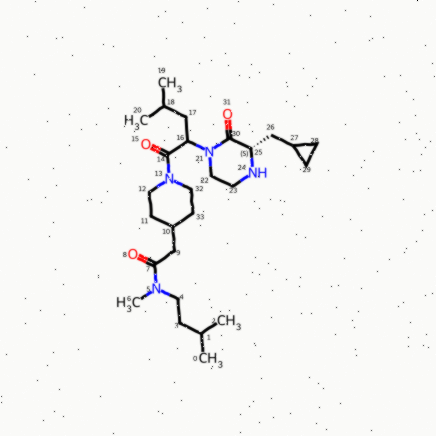 CC(C)CCN(C)C(=O)CC1CCN(C(=O)C(CC(C)C)N2CCN[C@@H](CC3CC3)C2=O)CC1